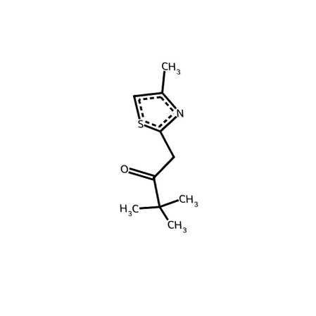 Cc1csc(CC(=O)C(C)(C)C)n1